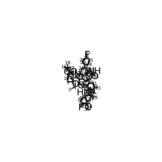 CCOC(=O)C1=C([C@@H]2CCCN2C(=O)OC(C)(C)C)NC(CCc2ccc(F)cc2)=C(c2n[nH]c(=O)o2)C1c1cc2cc(C)nc(N[C@H]3c4ccc(F)c(OC)c4CC3(F)F)c2s1